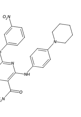 NC(=O)c1ncc(Oc2cccc([N+](=O)[O-])c2)nc1Nc1ccc(N2CCCCC2)cc1